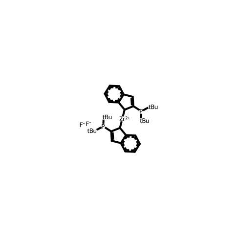 CC(C)(C)P(C1=Cc2ccccc2[CH]1[Zr+2][CH]1C(P(C(C)(C)C)C(C)(C)C)=Cc2ccccc21)C(C)(C)C.[F-].[F-]